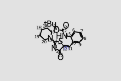 CC(C)(C)OC(=O)Nc1ccccc1/C=C1\SC(N2CCCCC2)=NC1=O